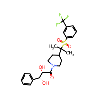 CC(C)(C1CCN(C(=O)[C@@H](O)[C@H](O)c2ccccc2)CC1)S(=O)(=O)c1cccc(C(F)(F)F)c1